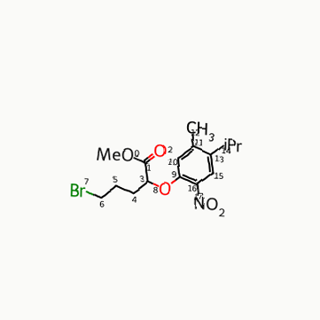 COC(=O)C(CCCBr)Oc1cc(C)c(C(C)C)cc1[N+](=O)[O-]